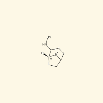 CC(C)NC1CCC2CC[C@H]1N2C